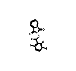 O=C(ON1C(=O)c2ccccc2C1=O)c1c(I)ccc(I)c1I